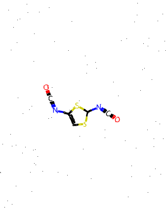 O=C=NC1=CSC(N=C=O)S1